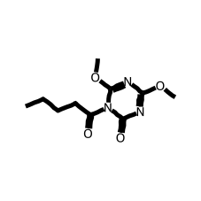 CCCCC(=O)n1c(OC)nc(OC)nc1=O